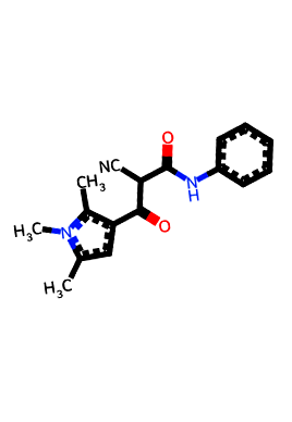 Cc1cc(C(=O)C(C#N)C(=O)Nc2ccccc2)c(C)n1C